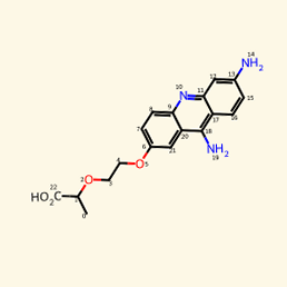 CC(OCCOc1ccc2nc3cc(N)ccc3c(N)c2c1)C(=O)O